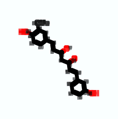 COc1cc(/C=C/C(=O)CC(=O)/C=C/c2cccc(O)c2)ccc1O